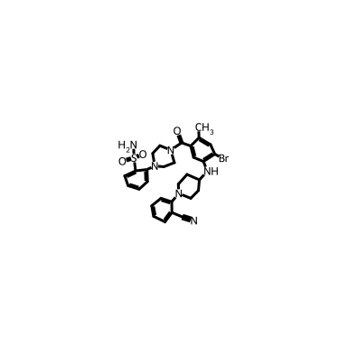 Cc1cc(Br)c(NC2CCN(c3ccccc3C#N)CC2)cc1C(=O)N1CCN(c2ccccc2S(N)(=O)=O)CC1